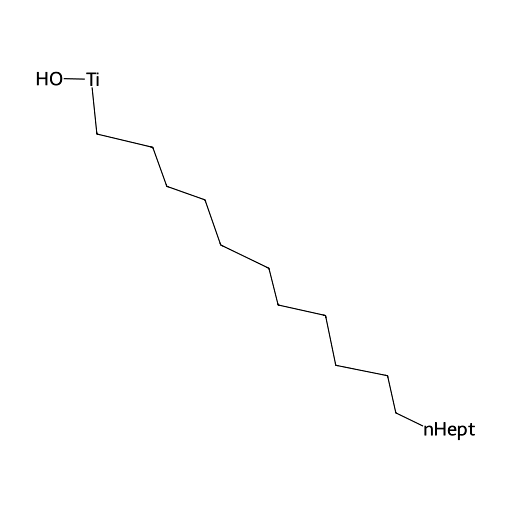 CCCCCCCCCCCCCCCCC[CH2][Ti][OH]